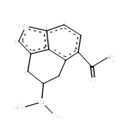 CCCN(CCC)C1Cc2c[nH]c3ccc(C(=O)C(C)C)c(c23)C1